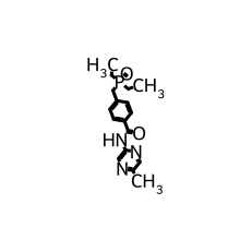 CCP(=O)(CC)Cc1ccc(C(=O)Nc2cnc(C)cn2)cc1